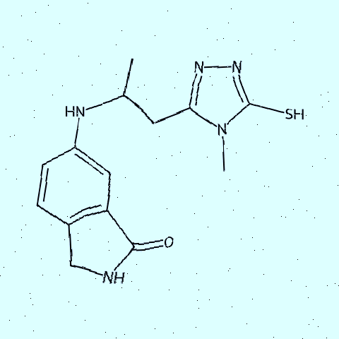 CC(Cc1nnc(S)n1C)Nc1ccc2c(c1)C(=O)NC2